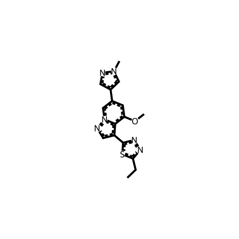 CCc1nnc(-c2cnn3cc(-c4cnn(C)c4)cc(OC)c23)s1